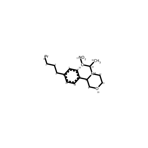 CC(C)CCCc1ccc(C2COCCN2C(C)O[N+](=O)[O-])cc1